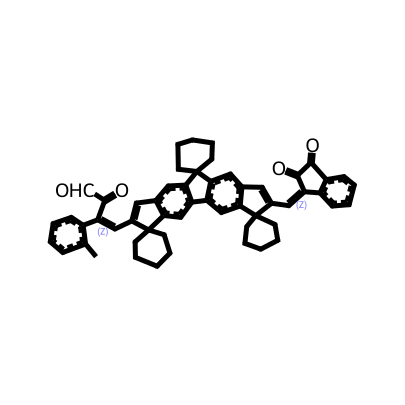 Cc1ccccc1/C(=C/C1=Cc2cc3c(cc2C12CCCCC2)-c1cc2c(cc1C31CCCCC1)C=C(/C=C1\C(=O)C(=O)c3ccccc31)C21CCCCC1)C(=O)C=O